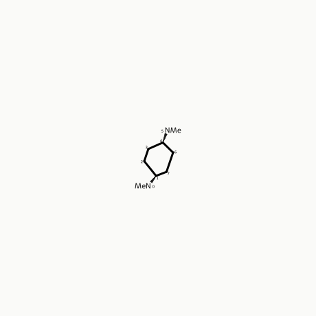 [CH2+][N-][C@H]1CC[C@@H]([N-][CH2+])CC1